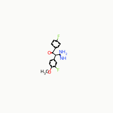 COc1ccc(C(C(=N)N)C(=O)c2ccc(F)cc2)cc1F